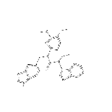 CCN(C(=O)C(Cc1ccc2[nH]ccc2c1)c1ccc(OC)c(OC)c1)c1c[nH]c2ccccc12